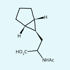 CC(=O)NC(C[C@H]1[C@@H]2CCC[C@@H]21)C(=O)O